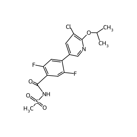 CC(C)Oc1ncc(-c2cc(F)c(C(=O)NS(C)(=O)=O)cc2F)cc1Cl